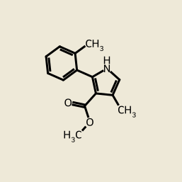 COC(=O)c1c(C)c[nH]c1-c1ccccc1C